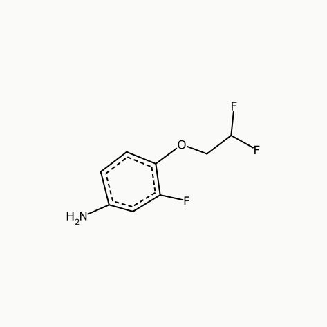 Nc1ccc(OCC(F)F)c(F)c1